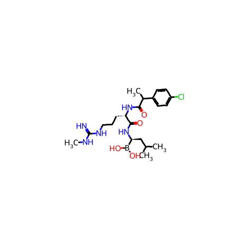 CNC(=N)NCCC[C@H](NC(=O)C(C)c1ccc(Cl)cc1)C(=O)N[C@@H](CC(C)C)B(O)O